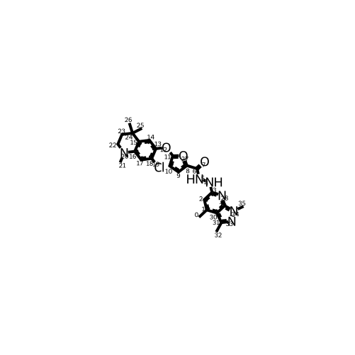 Cc1cc(NNC(=O)c2ccc(Oc3cc4c(cc3Cl)N(C)CCC4(C)C)o2)nc2c1c(C)nn2C